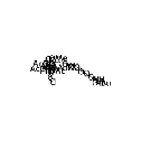 COC(=O)[C@@]1(OCCCCCCOCc2cn(CCOCCOCCOCCOCCNC(=O)OC(C)(C)C)nn2)C[C@H](OC(C)=O)[C@@H](NC(=O)COC(C)=O)[C@H]([C@H](OC(C)=O)[C@@H](CNC(=O)Cc2ccc(Cl)cc2)OC(C)=O)O1